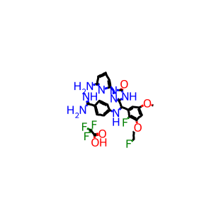 COc1cc(OCCF)c(F)c(C(Nc2ccc(C(=N)N)cc2)c2nn(-c3cccc(N)n3)c(=O)[nH]2)c1.O=C(O)C(F)(F)F